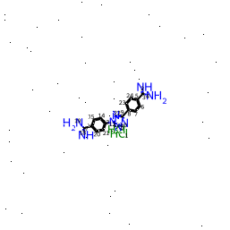 Cl.Cl.N=C(N)c1ccc(-c2nnn(-c3ccc(C(=N)N)cc3)n2)cc1